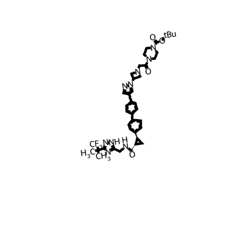 CC(C)(C)OC(=O)N1CCN(C(=O)CN2CC(n3cc(-c4ccc(-c5ccc([C@H]6C[C@@H]6C(=O)NCc6nc(C(C)(C)C(F)(F)F)n[nH]6)cc5)cc4)cn3)C2)CC1